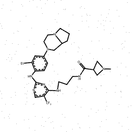 CCc1cc(N2CCN3CCCC3C2)ccc1Nc1ncc(C(F)(F)F)c(NCCCNC(=O)C2CN(C)C2)n1